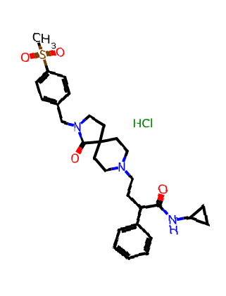 CS(=O)(=O)c1ccc(CN2CCC3(CCN(CCC(C(=O)NC4CC4)c4ccccc4)CC3)C2=O)cc1.Cl